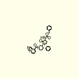 O=C(NC1CCN([C@@H]2CN(C(=O)c3cccn4cncc34)CC[C@H]2c2ccccc2)C1=O)OCc1ccccc1